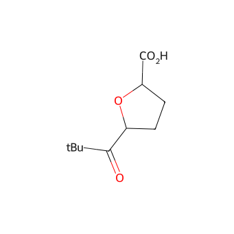 CC(C)(C)C(=O)C1CCC(C(=O)O)O1